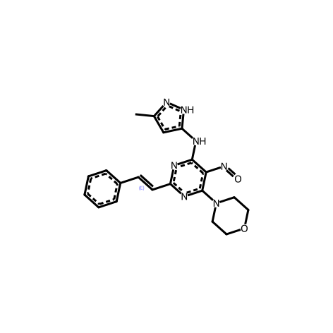 Cc1cc(Nc2nc(/C=C/c3ccccc3)nc(N3CCOCC3)c2N=O)[nH]n1